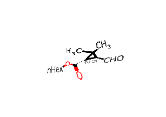 CCCCCCOC(=O)[C@H]1[C@H](C=O)C1(C)C